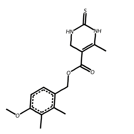 COc1ccc(COC(=O)C2=C(C)NC(=S)NC2)c(C)c1C